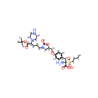 CCCCS(=O)(=O)C(N)(Cc1ccc(OCC2CN(CCCC(C(=O)OC(C)(C)C)N3CCNCC3)C(=O)O2)cc1)C(=O)O